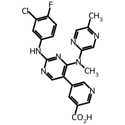 Cc1cnc(N(C)c2nc(Nc3ccc(F)c(Cl)c3)ncc2-c2cncc(C(=O)O)c2)cn1